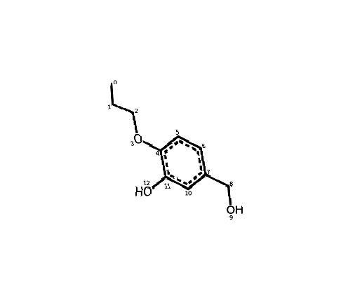 CCCOc1ccc(CO)cc1O